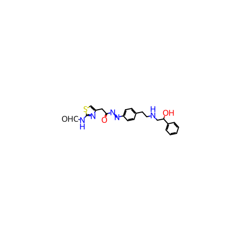 O=CNc1nc(CC(=O)N=Nc2ccc(CCNCC(O)c3ccccc3)cc2)cs1